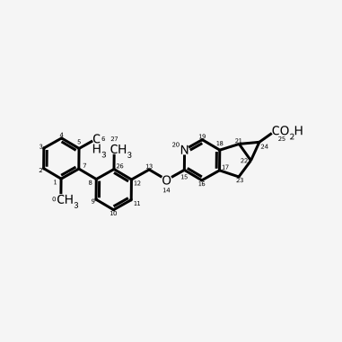 Cc1cccc(C)c1-c1cccc(COc2cc3c(cn2)C2C(C3)C2C(=O)O)c1C